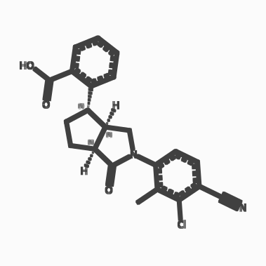 Cc1c(N2C[C@H]3[C@H](CC[C@@H]3c3ccccc3C(=O)O)C2=O)ccc(C#N)c1Cl